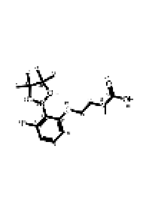 CC1(C)OB(c2c(F)cccc2OCCNC(=O)O)OC1(C)C